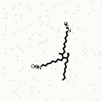 C=CC(CCCCCCCC)C(CCCCCCCCN=C=O)C(C)CCCCCCCCN=C=O